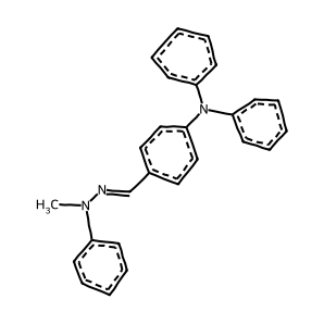 CN(N=Cc1ccc(N(c2ccccc2)c2ccccc2)cc1)c1ccccc1